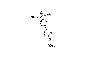 CCCCCCCCCCCOc1ncc(-c2ccc([C@@]3(C(=O)O)O[C@@H]3CCC)cc2)cn1